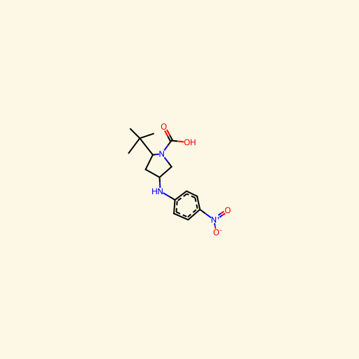 CC(C)(C)C1CC(Nc2ccc([N+](=O)[O-])cc2)CN1C(=O)O